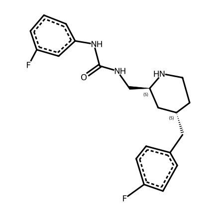 O=C(NC[C@@H]1C[C@@H](Cc2ccc(F)cc2)CCN1)Nc1cccc(F)c1